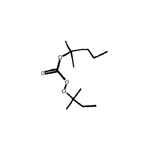 CCCC(C)(C)OC(=O)OOC(C)(C)CC